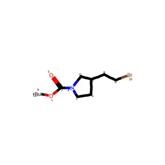 CC(C)(C)OC(=O)N1CCC(CCBr)C1